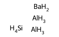 [AlH3].[AlH3].[BaH2].[SiH4]